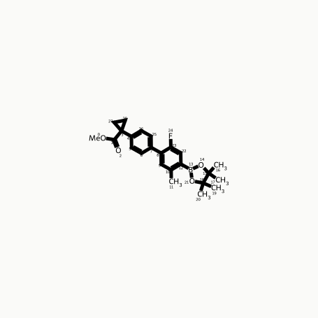 COC(=O)C1(c2ccc(-c3cc(C)c(B4OC(C)(C)C(C)(C)O4)cc3F)cc2)CC1